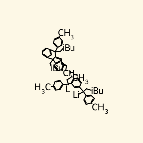 [Li][C](CC(C)CC)(c1ccc(C)cc1)c1cccc([C]([Li])(CC(C)CCC=CC=C2C(CC(C)CC)(c3ccc(C)cc3)c3cccc(c3)C2(CC(C)CC)c2ccc(C)cc2)c2ccc(C)cc2)c1